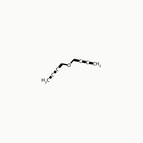 C=C=C=COC=C=C=C